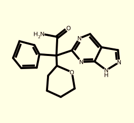 NC(=O)C(c1ccccc1)(c1ncc2cn[nH]c2n1)C1CCCCO1